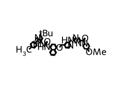 COC1CCN(C(=O)c2cnc(Nc3cc(COc4ccc(NC(=O)Nc5cc(C(C)(C)C)nn5-c5ccc(C)cc5)c5ccccc45)ccn3)cn2)CC1